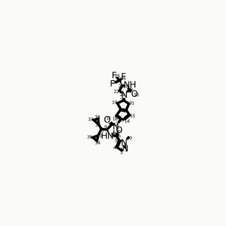 Cn1nccc1C(=O)N[C@H](C(=O)Nc1ccc2c(c1)CC(N1C[C@@H](C(F)(F)F)NC1=O)C2)C(C1CC1)C1CC1